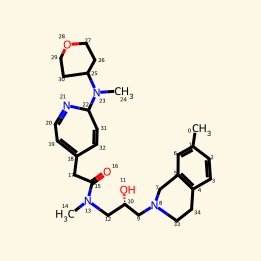 Cc1ccc2c(c1)CN(C[C@@H](O)CN(C)C(=O)CC1=CC=NC(N(C)C3CCOCC3)C=C1)CC2